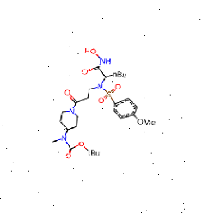 CCCCC(C(=O)NO)N(CCC(=O)N1CCC(N(C)C(=O)OC(C)(C)C)CC1)S(=O)(=O)c1ccc(OC)cc1